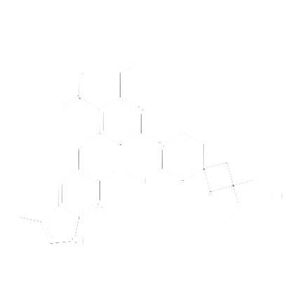 CCc1nc(N2CCC3(CC2)CC(OC)(OC)C3)cc(Oc2cc3c(F)c[nH]c3nc2OC)c1C(=O)O